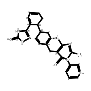 CCCCc1nc(C)n(-c2cccnc2)c(=O)c1CC1=CCC(C2CC=CC=C2c2noc(=O)[nH]2)C=C1